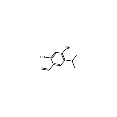 CC(C)c1cc(C=O)c(O)cc1O